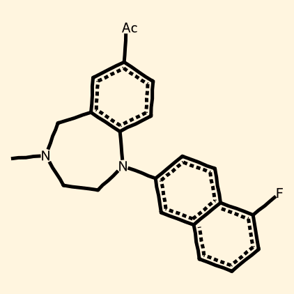 CC(=O)c1ccc2c(c1)CN(C)CCN2c1ccc2c(F)cccc2c1